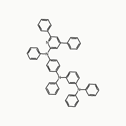 c1ccc(-c2cc(-c3ccccc3)nc(N(c3ccccc3)c3ccc(N(c4ccccc4)c4cccc(N(c5ccccc5)c5ccccc5)c4)cc3)c2)cc1